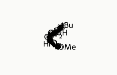 COc1ccc(CC(=O)Nc2ccc(C(=O)N(CC(=O)O)Cc3ccc(OC(=O)c4ccc(C(C)(C)C)cc4)cc3)cc2)cc1